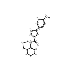 COc1ccc(-c2cc(C(=O)N3CCCC4CCCCC43)cs2)cn1